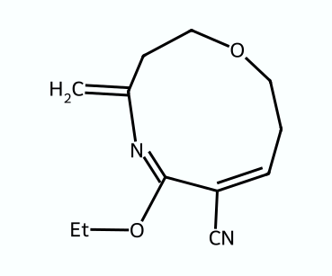 C=C1CCOCC/C=C(C#N)\C(OCC)=N/1